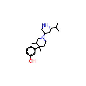 CC(C)CCC(CN)N1CCC(C)(c2cccc(O)c2)C(C)C1